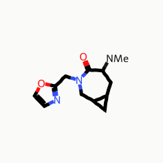 CNC1CC2CC2CN(Cc2ncco2)C1=O